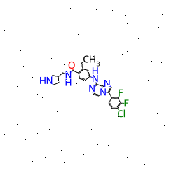 CCc1cc(Nc2nccn3c(-c4ccc(Cl)c(F)c4F)cnc23)ccc1C(=O)NCC1CCNC1